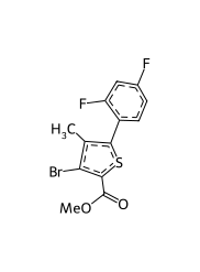 COC(=O)c1sc(-c2ccc(F)cc2F)c(C)c1Br